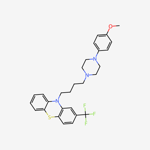 COc1ccc(N2CCN(CCCCN3c4ccccc4Sc4ccc(C(F)(F)F)cc43)CC2)cc1